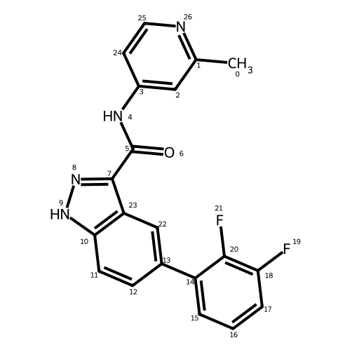 Cc1cc(NC(=O)c2n[nH]c3ccc(-c4cccc(F)c4F)cc23)ccn1